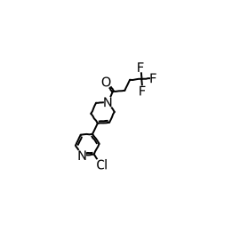 O=C(CCC(F)(F)F)N1CC=C(c2ccnc(Cl)c2)CC1